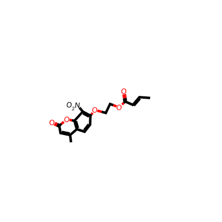 CC=CC(=O)OCCOc1ccc2c(C)cc(=O)oc2c1[N+](=O)[O-]